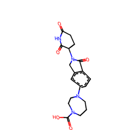 O=C1CCC(N2Cc3cc(N4CCCN(C(=O)O)CC4)ccc3C2=O)C(=O)N1